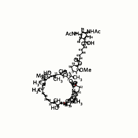 CO[C@@H]1C[C@H](C[C@@H](C)[C@@H]2CC(=O)[C@H](C)/C=C(\C)[C@@H](O)[C@@H](OC)C(=O)[C@H](C)C[C@H](C)/C=C/C=C/C=C(\C)[C@@H](O)C[C@@H]3CC[C@@H](C)[C@@](O)(O3)C(=O)C(=O)N3CCCC[C@H]3C(=O)O2)CC[C@H]1OC(=O)CCCCCOC(O)c1c(I)c(NC(C)=O)c(I)c(NC(C)=O)c1I